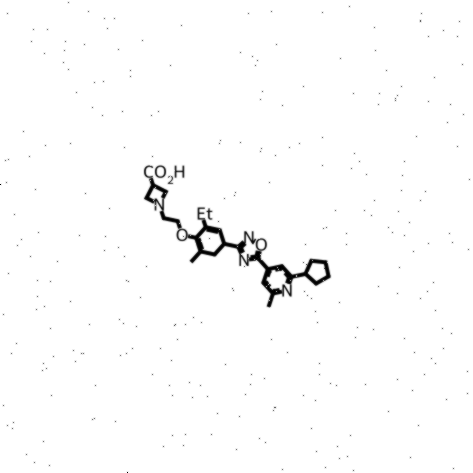 CCC1=CC(c2noc(-c3cc(C)nc(C4CCCC4)c3)n2)CC(C)=C1OCCN1CC(C(=O)O)C1